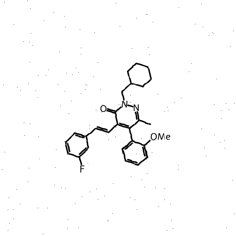 COc1ccccc1-c1c(C)nn(CC2CCCCC2)c(=O)c1C=Cc1cccc(F)c1